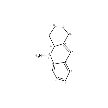 NN1c2ccccc2C=C2CCCCC21